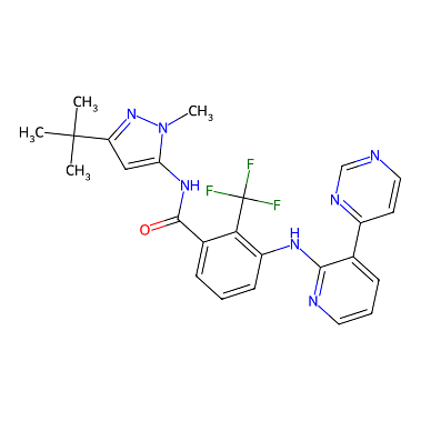 Cn1nc(C(C)(C)C)cc1NC(=O)c1cccc(Nc2ncccc2-c2ccncn2)c1C(F)(F)F